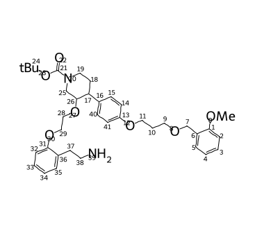 COc1ccccc1COCCCOc1ccc(C2CCN(C(=O)OC(C)(C)C)CC2OCCOc2ccccc2CCN)cc1